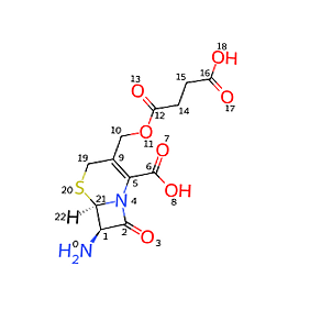 N[C@@H]1C(=O)N2C(C(=O)O)=C(COC(=O)CCC(=O)O)CS[C@H]12